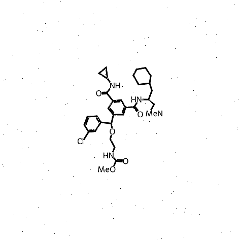 CNC[C@H](CC1CCCCC1)NC(=O)c1cc(C(=O)NC2CC2)cc(C(OCCNC(=O)OC)c2cccc(Cl)c2)c1